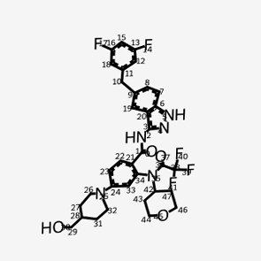 O=C(Nc1n[nH]c2ccc(Cc3cc(F)cc(F)c3)cc12)c1ccc(N2CCC(CO)CC2)cc1N(C(=O)C(F)(F)F)C1CCOCC1